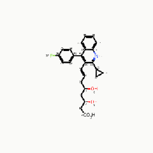 O=C(O)C[C@H](O)C[C@H](O)C/C=C/c1c(C2CC2)nc2ccccc2c1-c1ccc(F)cc1